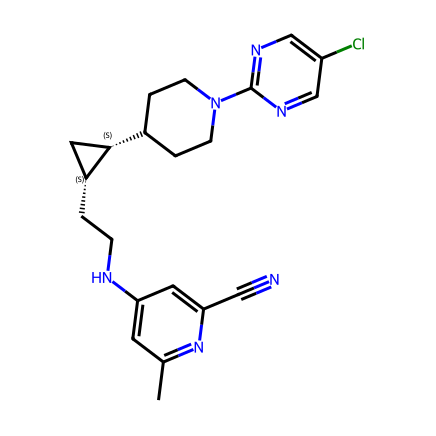 Cc1cc(NCC[C@@H]2C[C@@H]2C2CCN(c3ncc(Cl)cn3)CC2)cc(C#N)n1